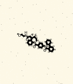 COCCNC(=O)/C=C1\c2ccccc2N(C(=O)c2ccc(NC(=O)c3ccccc3-c3ccccc3)cc2)CCC1(F)F